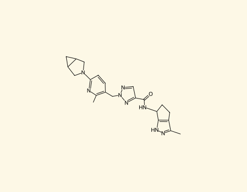 Cc1nc(N2CC3CC3C2)ccc1Cn1ncc(C(=O)NC2CCc3c(C)n[nH]c32)n1